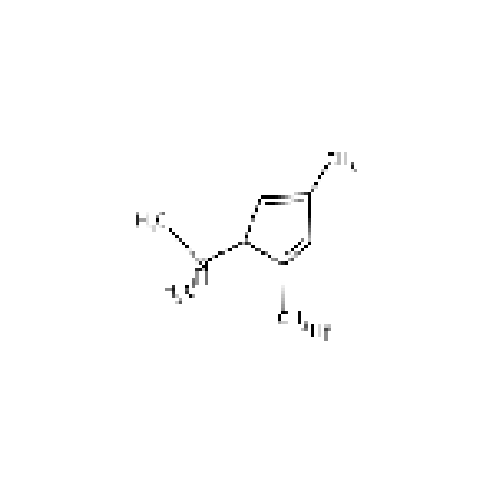 CC1=CC([SiH](C)C)C(C)=C1.[Hf]